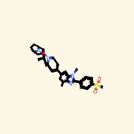 Cc1cc(C2CCN(C3CC4CCC(C3)N4CC(C)C)CC2)cc2c1nc(-c1ccc(S(C)(=O)=O)cc1)n2C